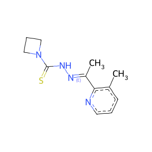 C/C(=N\NC(=S)N1CCC1)c1ncccc1C